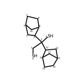 SCC(S)(C1CC2CCC1C2)C1CC2CCC1C2